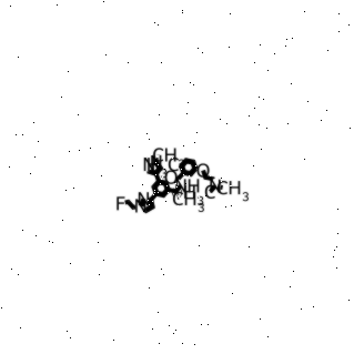 Cc1ccc(OCCN(C)C)cc1C(=O)N[C@H](C)c1cc(-c2cnn(C)c2)cc(-c2ccn(CCF)n2)c1